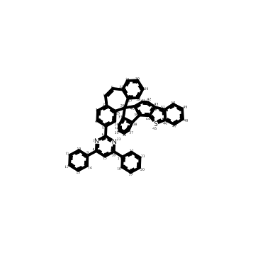 C1=Cc2ccc(-c3nc(-c4ccccc4)cc(-c4ccccc4)n3)cc2C2(c3ccccc31)c1ccccc1-c1c2ccc2c1sc1ccccc12